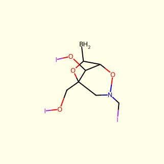 BC1OC2(COI)CN(CI)OC1C2OI